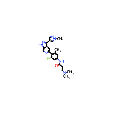 Cc1cc(NC(=O)CCN(C)C)cc(F)c1-c1cc2c(-c3cnn(C)c3)n[nH]c2cn1